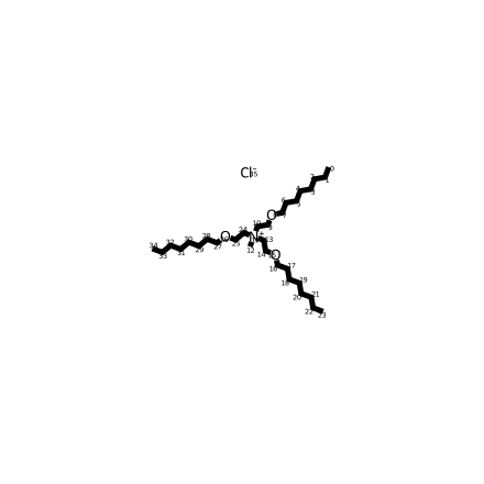 CCCCCCCCOCC[N+](C)(CCOCCCCCCCC)CCOCCCCCCCC.[Cl-]